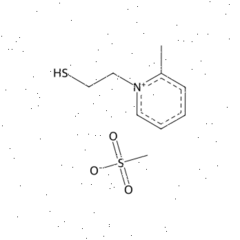 CS(=O)(=O)[O-].Cc1cccc[n+]1CCS